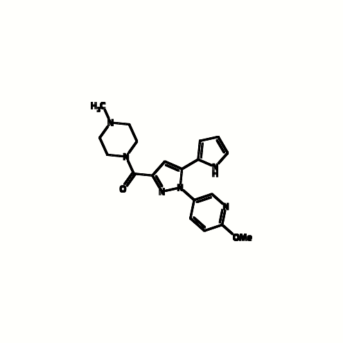 COc1ccc(-n2nc(C(=O)N3CCN(C)CC3)cc2-c2ccc[nH]2)cn1